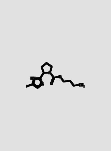 CCCCOC(=O)N1CCCC1c1ncc(I)[nH]1